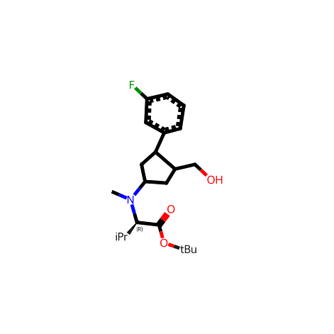 CC(C)[C@H](C(=O)OC(C)(C)C)N(C)C1CC(CO)C(c2cccc(F)c2)C1